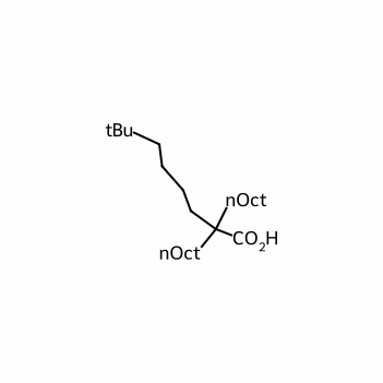 CCCCCCCCC(CCCCCCCC)(CCCCC(C)(C)C)C(=O)O